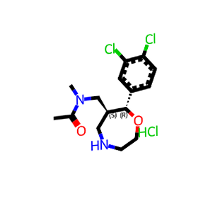 CC(=O)N(C)C[C@@H]1CNCCO[C@H]1c1ccc(Cl)c(Cl)c1.Cl